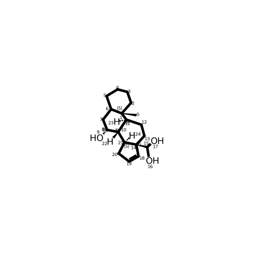 C[C@]12CCCCC1C[C@@H](O)[C@@H]1[C@@H]2CC[C@]2(C(O)O)C=CC[C@@H]12